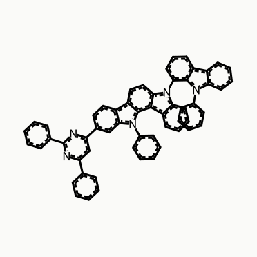 c1ccc(-c2cc(-c3ccc4c5ccc6c(c7ccccc7n6-c6cccc7c8ccccc8n(-c8ccccc8)c67)c5n(-c5ccccc5)c4c3)nc(-c3ccccc3)n2)cc1